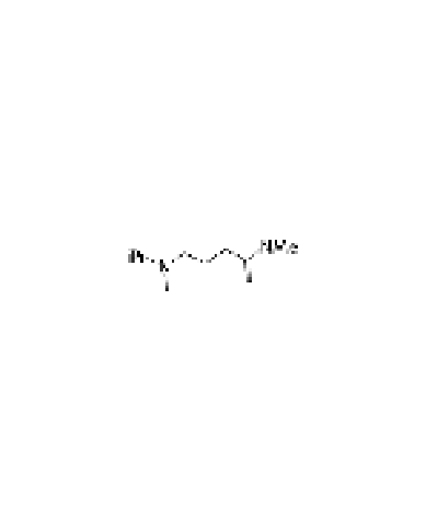 C=C(CCCN(C)C(C)C)NC